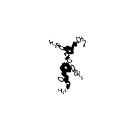 C=CCc1ccc(OCCOc2ccc(/C=C/C(=O)OCCC)cc2OC)c(OC)c1